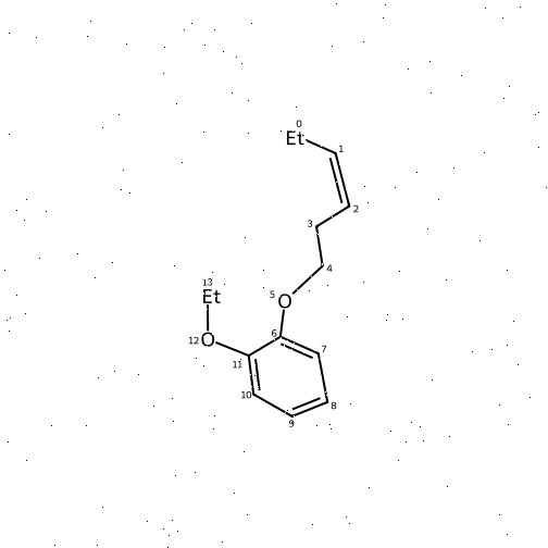 CC/C=C\CCOc1ccccc1OCC